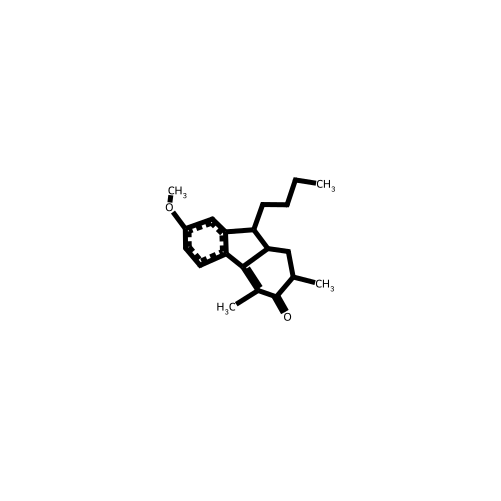 CCCCC1c2cc(OC)ccc2C2=C(C)C(=O)C(C)CC21